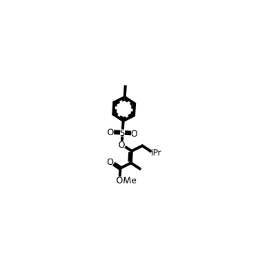 COC(=O)/C(C)=C(/CC(C)C)OS(=O)(=O)c1ccc(C)cc1